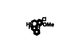 COc1cc2c(cc1Cl)CCN[C@H]1Cc3ccccc3[C@H]21